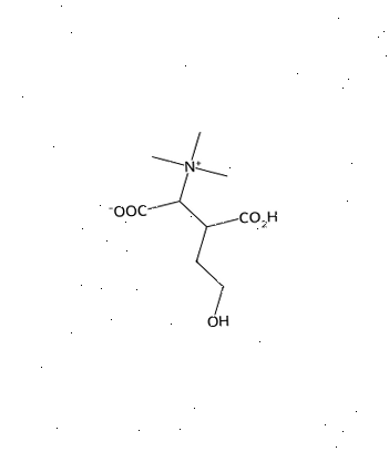 C[N+](C)(C)C(C(=O)[O-])C(CCO)C(=O)O